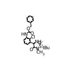 CN(C(=O)C(=N)c1cccc(NC(=O)OCc2ccccc2)c1Cl)[S@+]([O-])C(C)(C)C